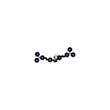 CCn1c(-c2ccc(C=Cc3ccc(N(c4ccccc4)c4ccccc4)cc3)cc2)ccc1-c1ccc(C=Cc2ccc(N(c3ccccc3)c3ccccc3)cc2)cc1